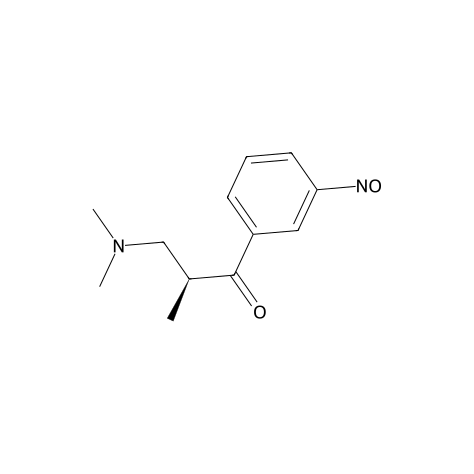 C[C@@H](CN(C)C)C(=O)c1cccc(N=O)c1